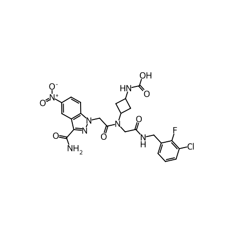 NC(=O)c1nn(CC(=O)N(CC(=O)NCc2cccc(Cl)c2F)C2CC(NC(=O)O)C2)c2ccc([N+](=O)[O-])cc12